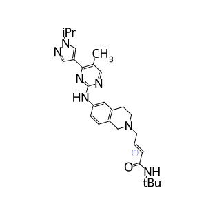 Cc1cnc(Nc2ccc3c(c2)CCN(C/C=C/C(=O)NC(C)(C)C)C3)nc1-c1cnn(C(C)C)c1